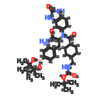 CC(C)(C)OC(=O)NC[C@H]1CC[C@H](C(=O)N(c2ccc3[nH]c(=O)[nH]c3c2)[C@@H](Cc2ccc(B3OC(C)(C)C(C)(C)O3)cc2)C(N)=O)CC1